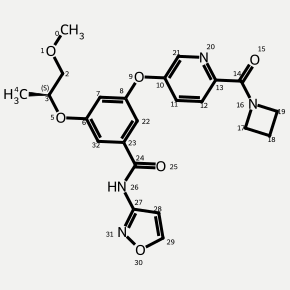 COC[C@H](C)Oc1cc(Oc2ccc(C(=O)N3CCC3)nc2)cc(C(=O)Nc2ccon2)c1